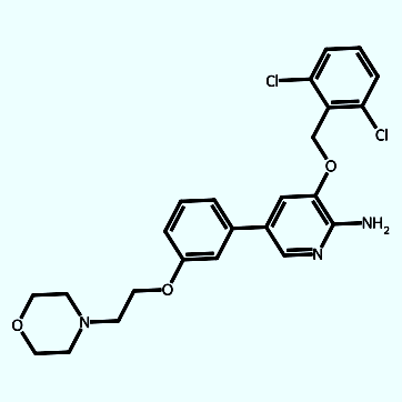 Nc1ncc(-c2cccc(OCCN3CCOCC3)c2)cc1OCc1c(Cl)cccc1Cl